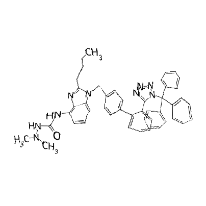 CCCCc1nc2c(NC(=O)NN(C)C)cccc2n1Cc1ccc(-c2ccccc2-c2nnnn2C(c2ccccc2)(c2ccccc2)c2ccccc2)cc1